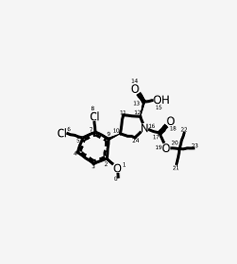 COc1ccc(Cl)c(Cl)c1[C@H]1C[C@@H](C(=O)O)N(C(=O)OC(C)(C)C)C1